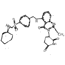 Cc1nc2cccc(NCc3ccc(S(=O)(=O)NC4CCCCC4)cc3)c2c(=O)n1C1CCC(=O)NC1=O